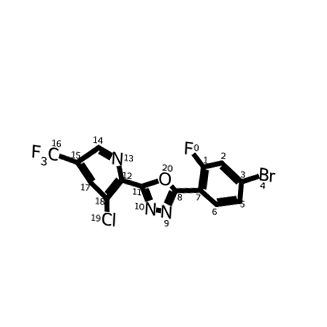 Fc1cc(Br)ccc1-c1nnc(-c2ncc(C(F)(F)F)cc2Cl)o1